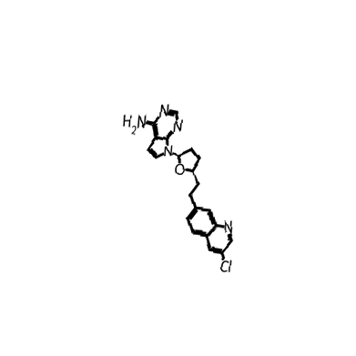 Nc1ncnc2c1ccn2[C@H]1CC[C@@H](CCc2ccc3cc(Cl)cnc3c2)O1